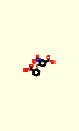 O=C(O)c1ccc(Sc2ccccc2C(=O)O)c([N+](=O)[O-])c1